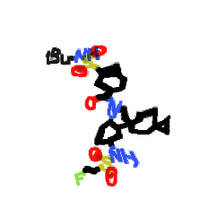 CC(C)(C)NS(=O)(=O)c1cccc(C(=O)N2CC3(CCC4(CC4)CC3)c3cc(NS(=O)(=O)CCF)ccc32)c1